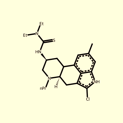 CCCN1C[C@@H](NC(=S)N(CC)CC)CC2c3cc(C)cc4[nH]c(Cl)c(c34)C[C@H]21